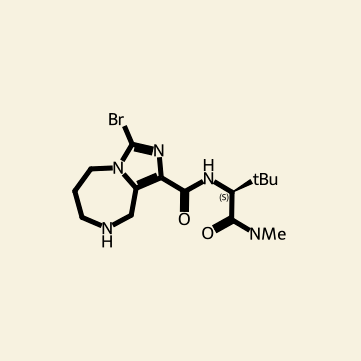 CNC(=O)[C@@H](NC(=O)c1nc(Br)n2c1CNCCC2)C(C)(C)C